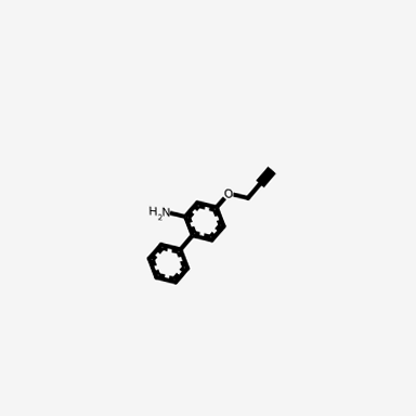 C#CCOc1ccc(-c2ccccc2)c(N)c1